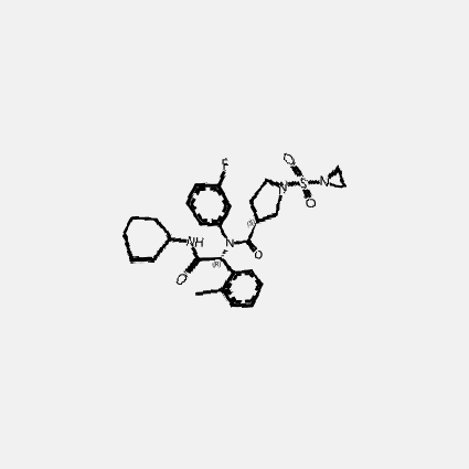 Cc1ccccc1[C@H](C(=O)NC1CCCCC1)N(C(=O)[C@H]1CCN(S(=O)(=O)N2CC2)C1)c1cccc(F)c1